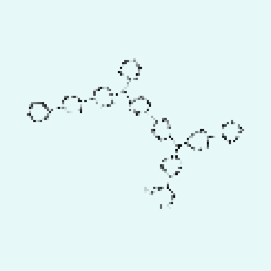 C=CC(=C)c1ccc(N(c2ccc(-c3ccccc3)cc2)c2ccc(-c3ccc(N(c4ccccc4)c4ccc(-c5ccc(-c6ccccc6)cc5)cc4)cc3)cc2)cc1